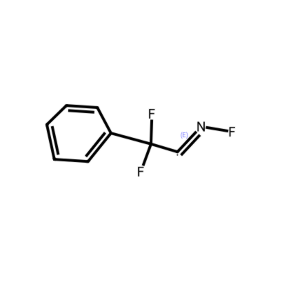 F/N=[C]/C(F)(F)c1ccccc1